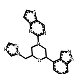 c1cc(C2CN(c3ncc4sccc4n3)CC(Cn3cncn3)O2)c2cn[nH]c2c1